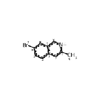 Cc1cc2ccc(Br)cc2cn1